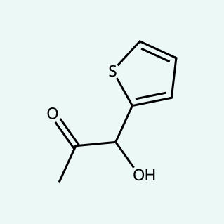 CC(=O)C(O)c1cccs1